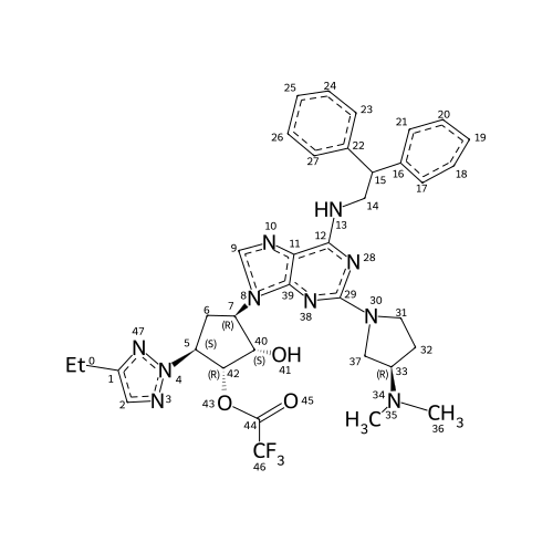 CCc1cnn([C@H]2C[C@@H](n3cnc4c(NCC(c5ccccc5)c5ccccc5)nc(N5CC[C@@H](N(C)C)C5)nc43)[C@H](O)[C@@H]2OC(=O)C(F)(F)F)n1